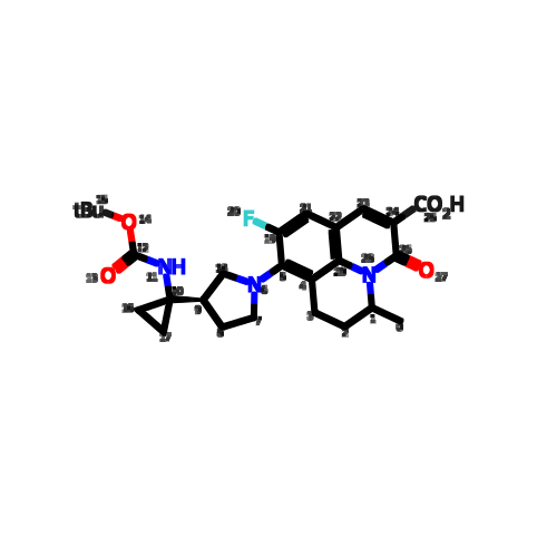 CC1CCc2c(N3CC[C@@H](C4(NC(=O)OC(C)(C)C)CC4)C3)c(F)cc3cc(C(=O)O)c(=O)n1c23